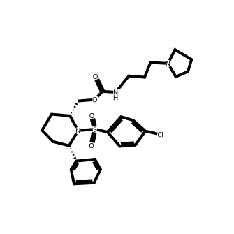 O=C(NCCCN1CCCC1)OC[C@H]1CCC[C@@H](c2ccccc2)N1S(=O)(=O)c1ccc(Cl)cc1